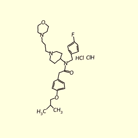 CC(C)COc1ccc(CC(=O)N(Cc2ccc(F)cc2)C2CCN(CCCN3CCOCC3)CC2)cc1.Cl.Cl